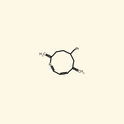 C=C1/C=C\C=N/C(=C)CCC(C(C)C)C1